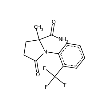 CC1(C(N)=O)CCC(=O)N1c1ccccc1C(F)(F)F